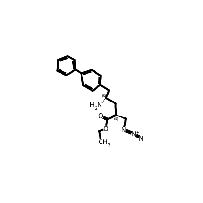 CCOC(=O)[C@H](CN=[N+]=[N-])C[C@H](N)Cc1ccc(-c2ccccc2)cc1